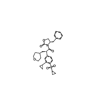 O=C1OC[C@@H](Cc2ccccc2)N1C(=O)[C@H](CC1CCOCC1)c1ccc(S(=O)(=O)C2CC2)c(C2CC2)c1